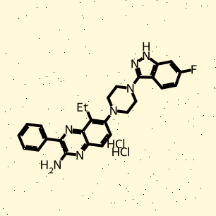 CCc1c(N2CCN(c3n[nH]c4cc(F)ccc34)CC2)ccc2nc(N)c(-c3ccccc3)nc12.Cl.Cl